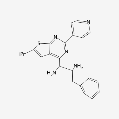 CC(C)c1cc2c(C(N)C(N)Cc3ccccc3)nc(-c3ccncc3)nc2s1